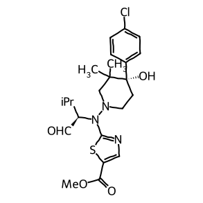 COC(=O)c1cnc(N([C@@H](C=O)C(C)C)N2CC[C@](O)(c3ccc(Cl)cc3)C(C)(C)C2)s1